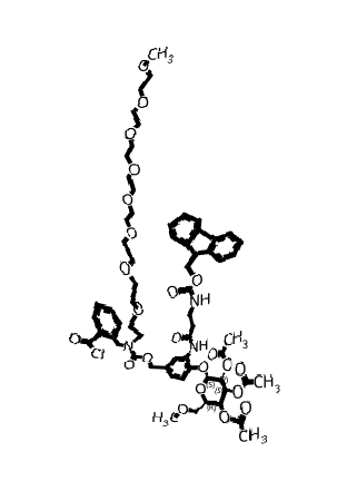 COCCOCCOCCOCCOCCOCCOCCOCCN(Cc1ccccc1C(=O)Cl)C(=O)OCc1ccc(O[C@@H]2O[C@H](COC)C(OC(C)=O)[C@H](OC(C)=O)[C@H]2OC(C)=O)c(NC(=O)CCNC(=O)OCC2c3ccccc3-c3ccccc32)c1